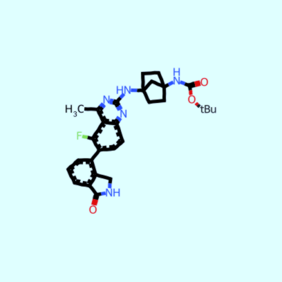 Cc1nc(NC23CCC(NC(=O)OC(C)(C)C)(CC2)C3)nc2ccc(-c3cccc4c3CNC4=O)c(F)c12